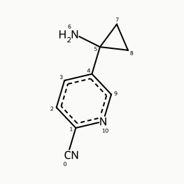 N#Cc1ccc(C2(N)CC2)cn1